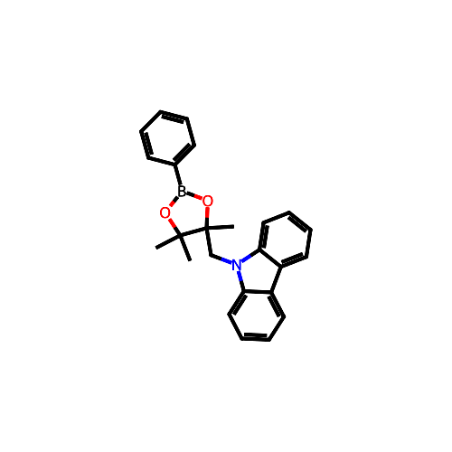 CC1(C)OB(c2ccccc2)OC1(C)Cn1c2ccccc2c2ccccc21